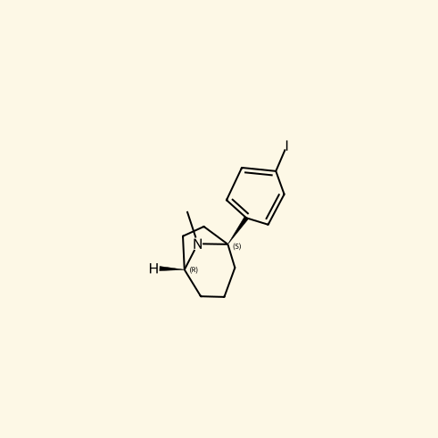 CN1[C@@H]2CCC[C@@]1(c1ccc(I)cc1)CC2